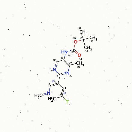 C=N/C=C(\C=C(/C)F)c1ncc(NC(=O)OC(C)(C)C)c(C)n1